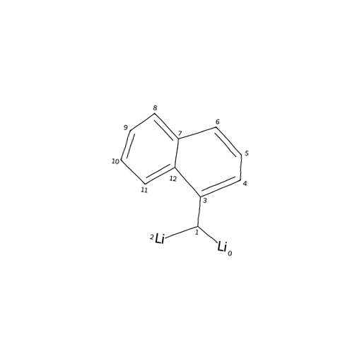 [Li][CH]([Li])c1cccc2ccccc12